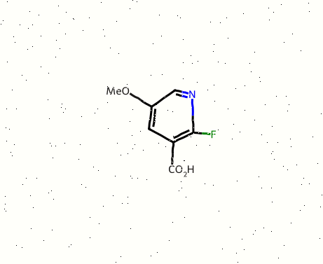 COc1cnc(F)c(C(=O)O)c1